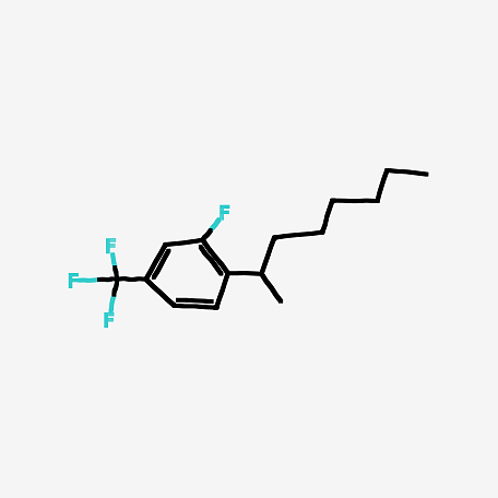 CCCCCCC(C)c1ccc(C(F)(F)F)cc1F